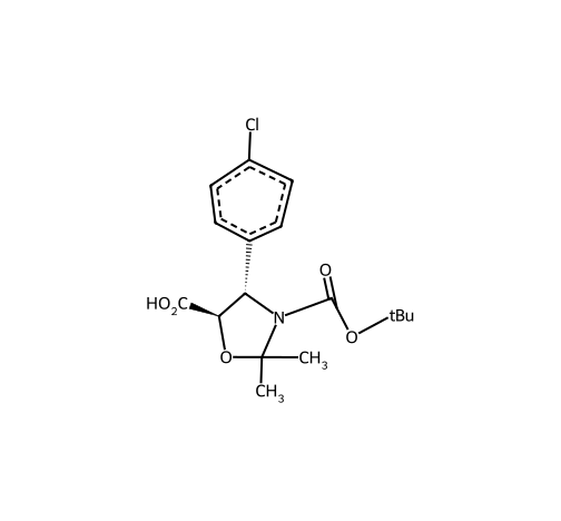 CC(C)(C)OC(=O)N1[C@@H](c2ccc(Cl)cc2)[C@H](C(=O)O)OC1(C)C